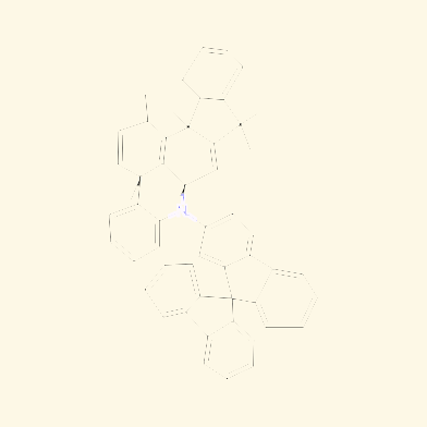 CC1C=CC2(C)C3=C1C1(C)C(=CC3(C)N(c3ccc4c(c3)C3(c5ccccc5-c5ccccc53)c3ccccc3-4)c3ccccc32)C(C)(C)c2ccccc21